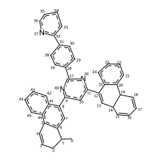 CC1CC=Cc2c1cc(-c1cc(C3=CC4C=CC=CC4c4ccccc43)nc(-c3ccc(-c4ccccn4)cc3)n1)c1ccccc21